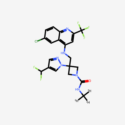 [2H]C([2H])([2H])NC(=O)N1CC(CNc2cc(C(F)(F)F)nc3ccc(Cl)cc23)(n2cc(C(F)F)cn2)C1